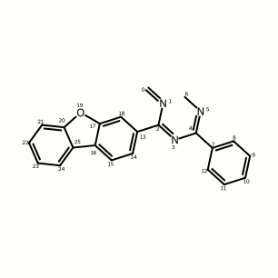 C=N/C(=N\C(=N/C)c1ccccc1)c1ccc2c(c1)oc1ccccc12